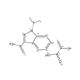 CC(C)n1nc(C(N)=O)c2ccccc21.O=C(O)C(=O)O